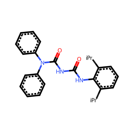 CC(C)c1cccc(C(C)C)c1NC(=O)NC(=O)N(c1ccccc1)c1ccccc1